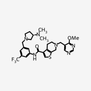 COc1ncncc1CN1CCc2c(C(=O)Nc3cc(CN4CC[C@@H](N(C)C)C4)cc(C(F)(F)F)c3)csc2C1